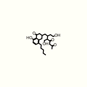 CCCCCc1ccc(O)c2c1CC(CC(CCO)C(CO)C(=O)CC(C)=O)CC2=O